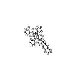 C=C(C1Cc2cc3oc4cc5ccccc5cc4c3cc2-c2ccccc21)C(C(C)c1ccccc1C)n1c2ccccc2c2ccccc21